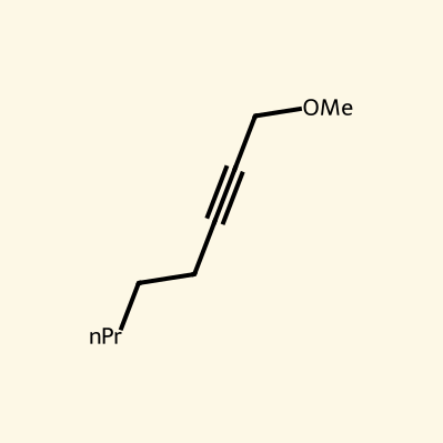 CCCCCC#CCOC